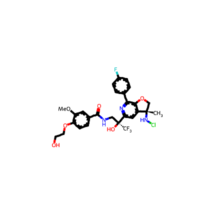 COc1cc(C(=O)NC[C@](O)(c2cc3c(c(-c4ccc(F)cc4)n2)OC[C@]3(C)NCl)C(F)(F)F)ccc1OCCO